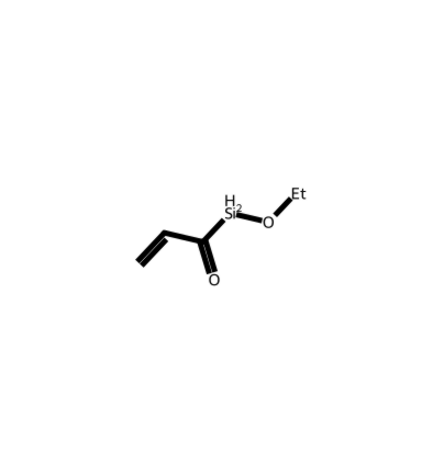 C=CC(=O)[SiH2]OCC